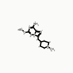 CCCCOc1nc(N)c2ncc(CC3CCN(C)CC3)n2n1